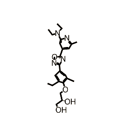 CCc1cc(-c2noc(-c3cc(C)nc(N(CC)CC)c3)n2)cc(C)c1OC[C@H](O)CO